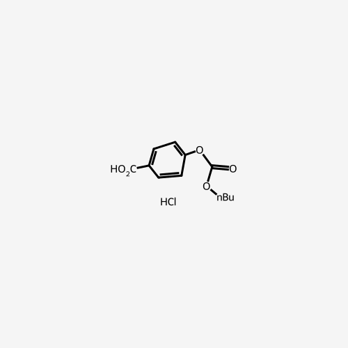 CCCCOC(=O)Oc1ccc(C(=O)O)cc1.Cl